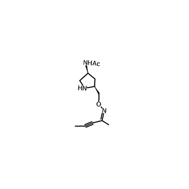 CC#C/C(C)=N\OC[C@@H]1C[C@H](NC(C)=O)CN1